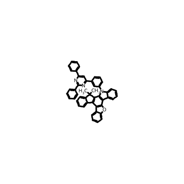 CC1(C)c2ccccc2-c2c1c1c(c3ccccc3n1-c1cccc(-c3cc(-c4ccccc4)nc(-c4ccccc4)n3)c1)c1oc3ccccc3c21